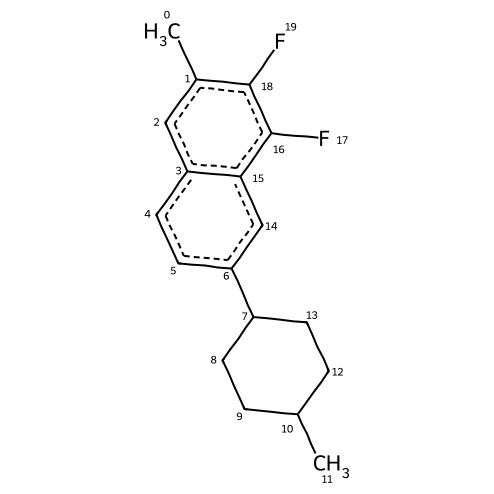 Cc1cc2ccc(C3CCC(C)CC3)cc2c(F)c1F